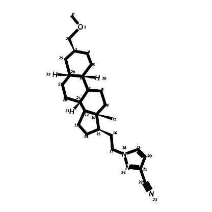 COC[C@H]1CC[C@@H]2C3CC[C@@]4(C)C(CC[C@@H]4CCn4ccc(C#N)n4)[C@@H]3CC[C@@H]2C1